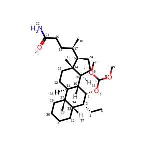 CC[C@H]1[C@@H](OC(OC)OC)[C@@H]2[C@H](CC[C@]3(C)[C@@H]([C@H](C)CCC(N)=O)CC[C@@H]23)[C@@]2(C)CCCC[C@@H]12